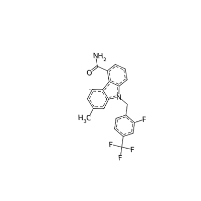 Cc1c[c]c2c3c(C(N)=O)cccc3n(Cc3ccc(C(F)(F)F)cc3F)c2c1